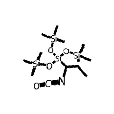 CCC(N=C=O)[Si](O[Si](C)(C)C)(O[Si](C)(C)C)O[Si](C)(C)C